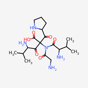 CC(C)C(N)C(=O)N(C(=O)CN)C(C(=O)O)(C(=O)C1CCCN1)C(=O)C(N)C(C)C